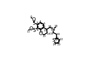 COSc1ccc2c(c1SOC)OCCC2CN(C)CCc1cccs1